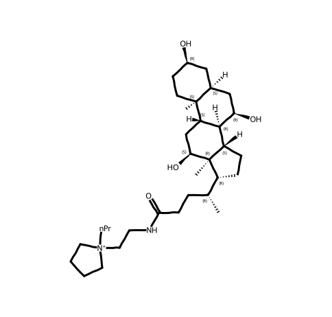 CCC[N+]1(CCNC(=O)CC[C@@H](C)[C@H]2CC[C@H]3[C@@H]4[C@H](O)C[C@@H]5C[C@H](O)CC[C@]5(C)[C@H]4C[C@H](O)[C@]23C)CCCC1